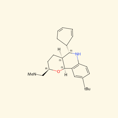 CNC[C@H]1CC[C@@H]2[C@H](O1)c1cc(C(C)(C)C)ccc1N[C@H]2C1C=CC=CC1